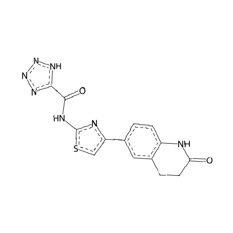 O=C1CCc2cc(-c3csc(NC(=O)c4nnn[nH]4)n3)ccc2N1